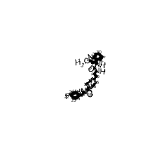 Cc1cc(NC(=O)NCCN2CCN(C(=O)NCc3ccc(F)cc3)CC2)c2ccccc2n1